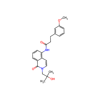 COc1cccc(CCC(=O)Nc2cccc3c(=O)n(CC(C)(C)O)ccc23)c1